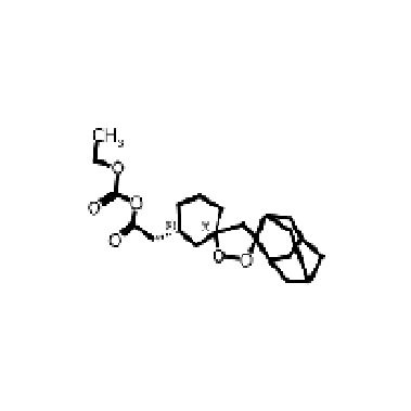 CCOC(=O)OC(=O)C[C@@H]1CCC[C@@]2(C1)CC1(OO2)C2CC3CC(C2)CC1C3